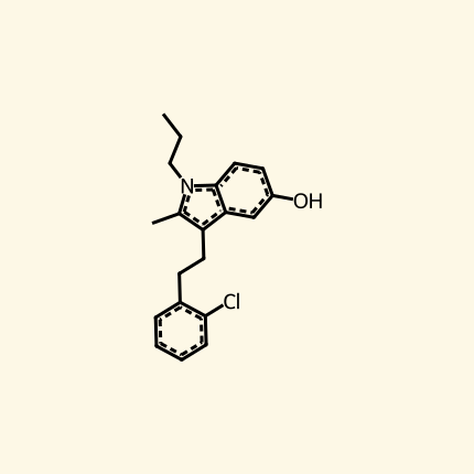 CCCn1c(C)c(CCc2ccccc2Cl)c2cc(O)ccc21